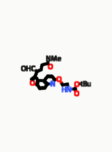 CNC(=O)CCC(C=O)c1coc2ccc3nc(OCCNC(=O)OC(C)(C)C)ccc3c12